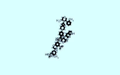 Cc1ccccc1[C@@H]1COC[C@@H](C)N1C1CC2(CCN(c3ccc(C(=O)NS(=O)(=O)c4cc5c(c([N+](=O)[O-])c4)N[C@H](C4CCC(C)(OP(=O)(O)O)CC4)CO5)c(N4c5cc6cc[nH]c6nc5O[C@H]5COCC[C@@H]54)c3)CC2)C1